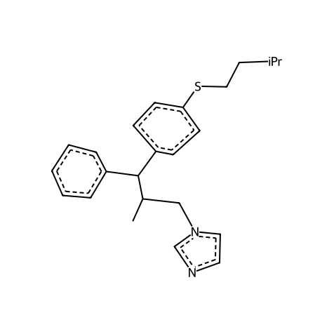 CC(C)CCSc1ccc(C(c2ccccc2)C(C)Cn2ccnc2)cc1